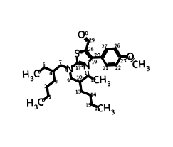 CCCCC(CC)CN(CC(CC)CCCC)c1nc(-c2ccc(OC)cc2)c(C=O)s1